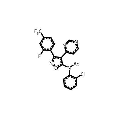 CC(=O)N(c1ccccc1Cl)c1onc(-c2ccc(C(F)(F)F)cc2F)c1-c1ccncn1